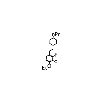 CCC[C@H]1CC[C@H](CCc2ccc(OCC)c(F)c2F)CC1